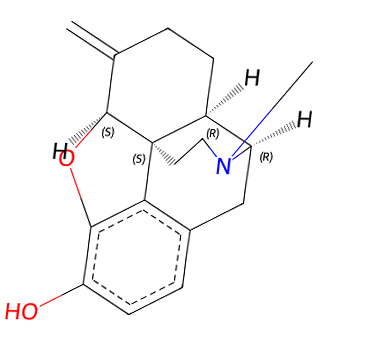 C=C1CC[C@H]2[C@H]3Cc4ccc(O)c5c4[C@@]2(CCN3C)[C@H]1O5